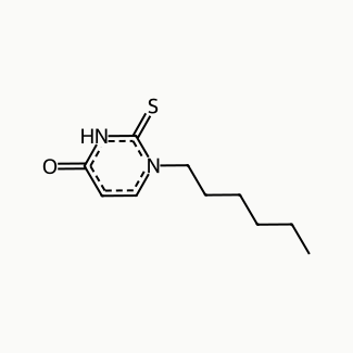 CCCCCCn1ccc(=O)[nH]c1=S